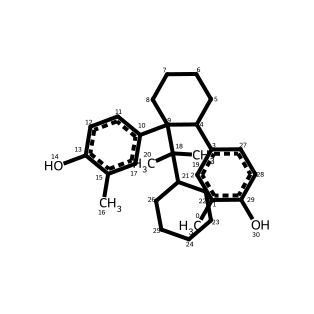 Cc1cc(C2CCCCC2(c2ccc(O)c(C)c2)C(C)(C)C2CCCCC2)ccc1O